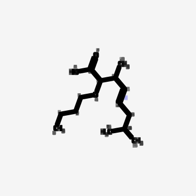 CCCCOC(C(=O)O)C(C)/C=C/CC(C)C